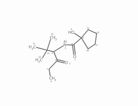 CCC(=O)C(NC(=O)C1(O)CCCC1)C(C)(C)C